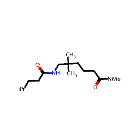 CNC(=O)CCCC(C)(C)CNC(=O)CCC(C)C